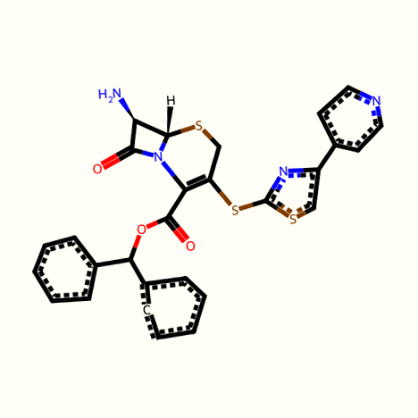 N[C@@H]1C(=O)N2C(C(=O)OC(c3ccccc3)c3ccccc3)=C(Sc3nc(-c4ccncc4)cs3)CS[C@@H]12